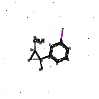 CC1(c2cccc(I)c2)CC1C(=O)O